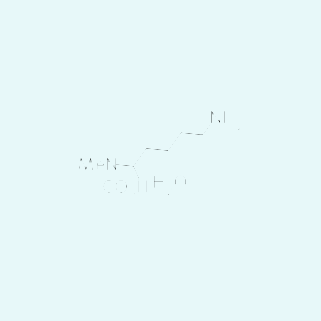 CNC(CCCCN)C(=O)O.O